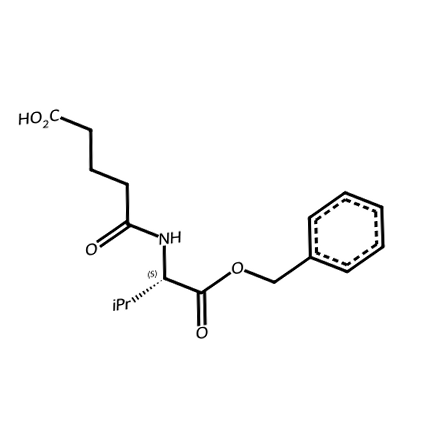 CC(C)[C@H](NC(=O)CCCC(=O)O)C(=O)OCc1ccccc1